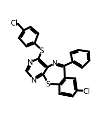 Clc1ccc(Sc2ncnc3c2N=C(c2ccccc2)c2cc(Cl)ccc2S3)cc1